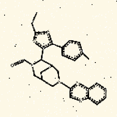 CCc1nc(C2C3CC(CN(c4cnc5ccccc5n4)C3)CN2C=O)c(-c2ccc(C)cc2)s1